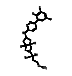 [2H]C([2H])(CCOC)N1C[C@H]2CC(Nc3ccc(-c4cc(F)cc(F)c4F)nn3)C[C@H]2C1